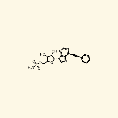 NS(=O)(=O)OCC1O[C@@H](n2cnc3c(C#Cc4ccccc4)ncnc32)[C@H](O)[C@@H]1O